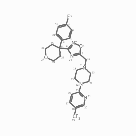 Fc1ccc(C2(c3noc(CN4CCN(c5ccc(C(F)(F)F)cn5)CC4)n3)CCOCC2)cc1